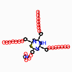 COCOCOCOCOCOCOc1cccc(C#Cc2c3nc(c(C#Cc4cccc(OCOCOCOCOCOCOC)c4)c4ccc(s4)c(-c4ccc(OCC(=O)N5C(=O)CCC5=O)cc4)c4nc(c(C#Cc5cccc(OCOCOCOCOCOCOC)c5)c5ccc2[nH]5)C=C4)C=C3)c1